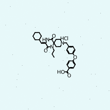 CCCN1C(=O)C(=CC2CCCCC2)NC(=O)C12CCN(Cc1ccc(Oc3ccc(C(=O)O)cc3)cc1)CC2.Cl